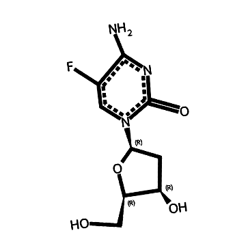 Nc1nc(=O)n([C@H]2C[C@@H](O)[C@@H](CO)O2)cc1F